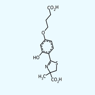 CC1(C(=O)O)CSC(c2ccc(OCCCC(=O)O)cc2O)=N1